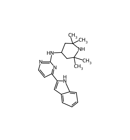 CC1(C)CC(Nc2nccc(-c3cc4ccccc4[nH]3)n2)CC(C)(C)N1